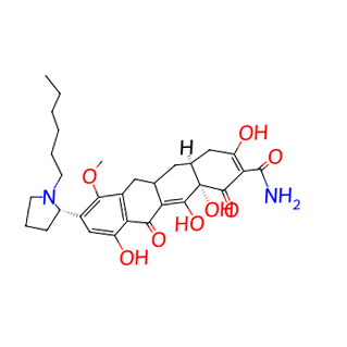 CCCCCCN1CCC[C@H]1c1cc(O)c2c(c1OC)CC1C[C@H]3CC(O)=C(C(N)=O)C(=O)[C@@]3(O)C(O)=C1C2=O